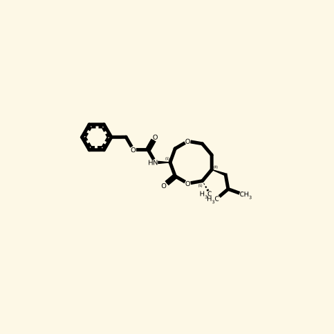 CC(C)C[C@@H]1CCOC[C@H](NC(=O)OCc2ccccc2)C(=O)O[C@H]1C